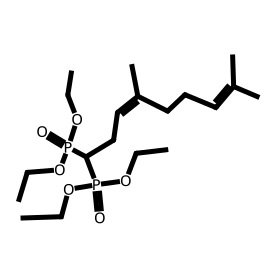 CCOP(=O)(OCC)C(CC=C(C)CCC=C(C)C)P(=O)(OCC)OCC